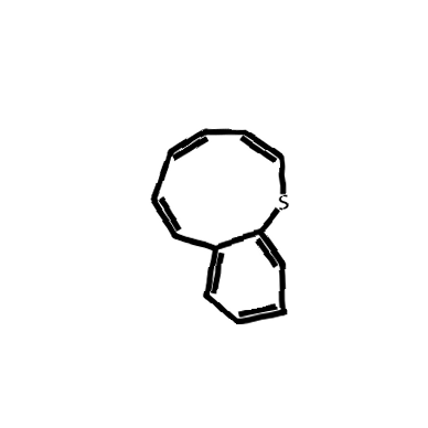 c1cccc2ccccc2scc1